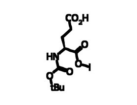 CC(C)(C)OC(=O)N[C@@H](CCC(=O)O)C(=O)OI